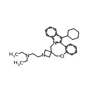 CCN(CC)CCN1CC2(COc3ccccc3-c3c(C4CCCCC4)c4ccccc4n3C2)C1